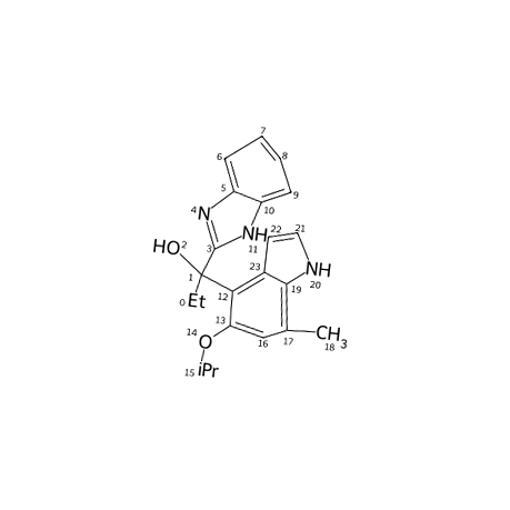 CCC(O)(c1nc2ccccc2[nH]1)c1c(OC(C)C)cc(C)c2[nH]ccc12